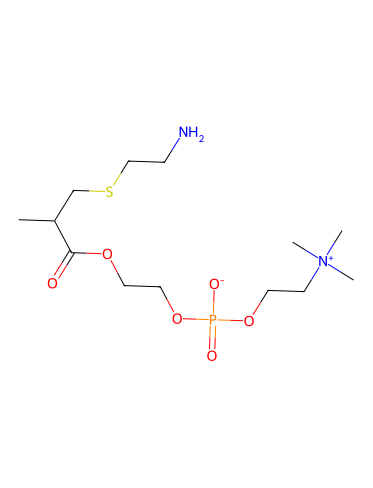 CC(CSCCN)C(=O)OCCOP(=O)([O-])OCC[N+](C)(C)C